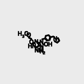 COCCOC1=NC2=C(NC(O)N2CC2=CC=C(CN3CCCC3)CC2)C(N)N1